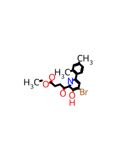 CCOC(=O)CCC(=O)c1nc(-c2ccc(C)cc2C)cc(Br)c1O